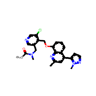 Cc1cc(-c2ccnn2C)c2cccc(OCc3c(Cl)cncc3CN(C)C(=O)OCC(C)C)c2n1